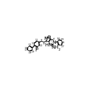 N=C(N)N(Cc1cc(CCc2ccc(-c3ccccc3)c(F)c2)no1)c1ccccc1